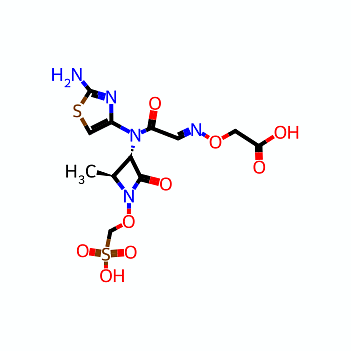 C[C@H]1[C@H](N(C(=O)C=NOCC(=O)O)c2csc(N)n2)C(=O)N1OCS(=O)(=O)O